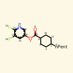 CCCCCC1CCC(C(=O)Oc2cnc(F)c(F)c2)CC1